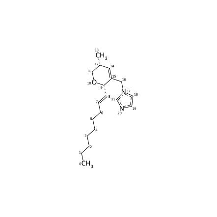 CCCCCCCC=C[C@@H]1OC[C@H](C)C=C1Cn1ccnc1